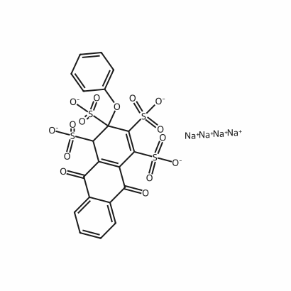 O=C1C2=C(C(=O)c3ccccc31)C(S(=O)(=O)[O-])C(Oc1ccccc1)(S(=O)(=O)[O-])C(S(=O)(=O)[O-])=C2S(=O)(=O)[O-].[Na+].[Na+].[Na+].[Na+]